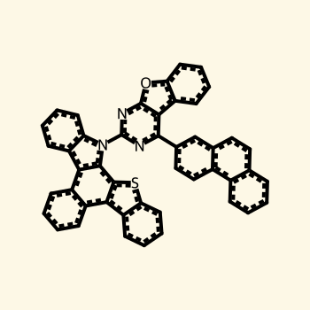 c1ccc2c(c1)ccc1cc(-c3nc(-n4c5ccccc5c5c6ccccc6c6c7ccccc7sc6c54)nc4oc5ccccc5c34)ccc12